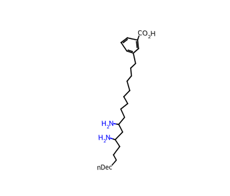 CCCCCCCCCCCCCC(N)CC(N)CCCCCCCCCc1cccc(C(=O)O)c1